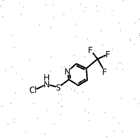 FC(F)(F)c1ccc(SNCl)nc1